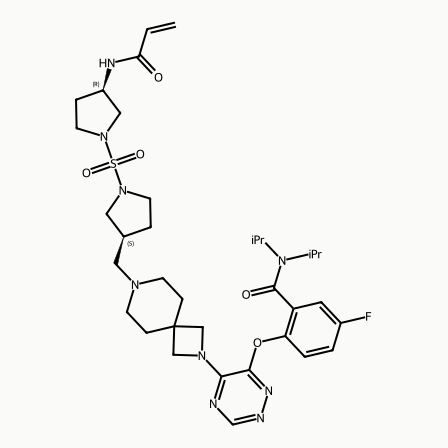 C=CC(=O)N[C@@H]1CCN(S(=O)(=O)N2CC[C@@H](CN3CCC4(CC3)CN(c3ncnnc3Oc3ccc(F)cc3C(=O)N(C(C)C)C(C)C)C4)C2)C1